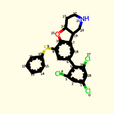 Clc1cc(Cl)c(-c2cc(Sc3ccccc3)c3c(c2)C2CNCCC2O3)c(Cl)c1